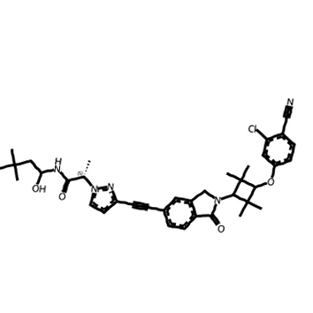 C[C@@H](C(=O)NC(O)CC(C)(C)C)n1ccc(C#Cc2ccc3c(c2)CN(C2C(C)(C)C(Oc4ccc(C#N)c(Cl)c4)C2(C)C)C3=O)n1